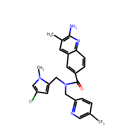 Cc1cc2cc(C(=O)N(Cc3ccc(C(F)(F)F)cn3)Cc3cc(Cl)cn3C)ccc2nc1N